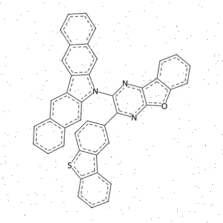 c1ccc2cc3c(cc2c1)c1cc2ccccc2cc1n3-c1nc2c(nc1-c1ccc3sc4ccccc4c3c1)oc1ccccc12